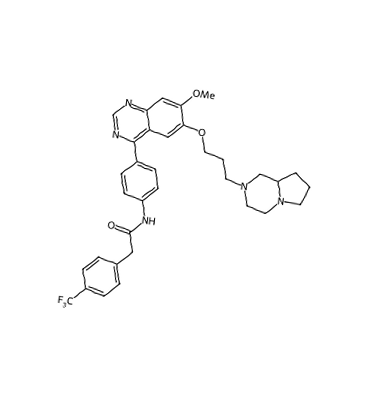 COc1cc2ncnc(-c3ccc(NC(=O)Cc4ccc(C(F)(F)F)cc4)cc3)c2cc1OCCCN1CCN2CCCC2C1